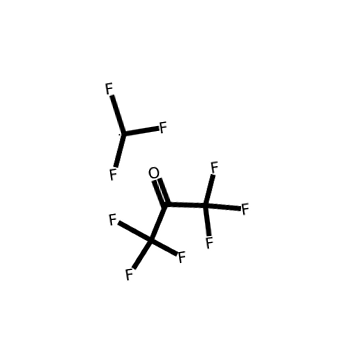 F[C](F)F.O=C(C(F)(F)F)C(F)(F)F